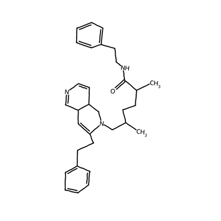 CC(CCC(C)C(=O)NCCc1ccccc1)CN1CC2C=CN=CC2C=C1CCc1ccccc1